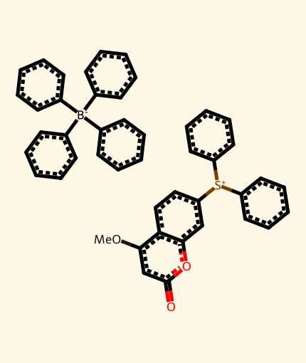 COc1cc(=O)oc2cc([S+](c3ccccc3)c3ccccc3)ccc12.c1ccc([B-](c2ccccc2)(c2ccccc2)c2ccccc2)cc1